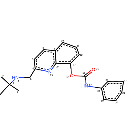 CC(C)(C)NCc1ccc2cccc(OC(=O)Nc3ccccc3)c2n1